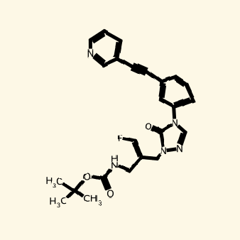 CC(C)(C)OC(=O)NCC(=CF)Cn1ncn(-c2cccc(C#Cc3cccnc3)c2)c1=O